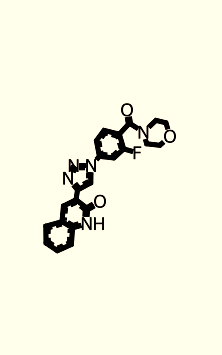 O=C(c1ccc(-n2cc(-c3cc4ccccc4[nH]c3=O)nn2)cc1F)N1CCOCC1